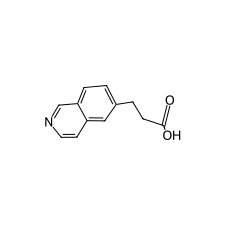 O=C(O)CCc1ccc2cnccc2c1